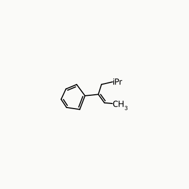 CC=C(CC(C)C)c1ccccc1